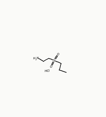 CCCS(=O)(=O)CCN.Cl